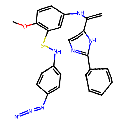 C=C(Nc1ccc(OC)c(SNc2ccc(N=[N+]=[N-])cc2)c1)c1cnc(-c2ccccc2)[nH]1